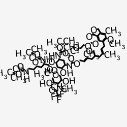 COCCOCOc1c(C/C=C(\C)CC(C=O)C/C(C)=C/COC(=O)NC2CC(NC(=O)OC(C)(C)C)[C@@H](O[C@@H](OC)C(CCCCNC(=O)OC(C)(C)C)NC(=O)OC(C)(C)C)C(O)C2OC2OCC(C)(O)C(N(C)C(=O)C(F)(F)F)C2O)c(OC)c(C)c2c1C(=O)OC2